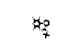 CC(C)(C)OC(=O)[C@H]1CCCN1c1c(F)c(F)nc(F)c1F